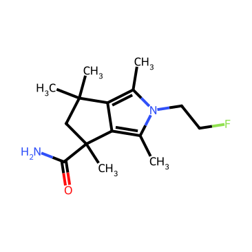 Cc1c2c(c(C)n1CCF)C(C)(C(N)=O)CC2(C)C